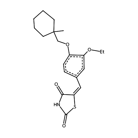 CCOc1cc(C=C2SC(=O)NC2=O)ccc1OCC1(C)CCCCC1